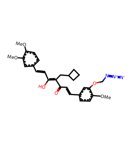 COc1ccc(/C=C/C(O)=C(\CC2CCC2)C(=O)/C=C/c2ccc(OC)c(OCN=[N+]=[N-])c2)cc1OC